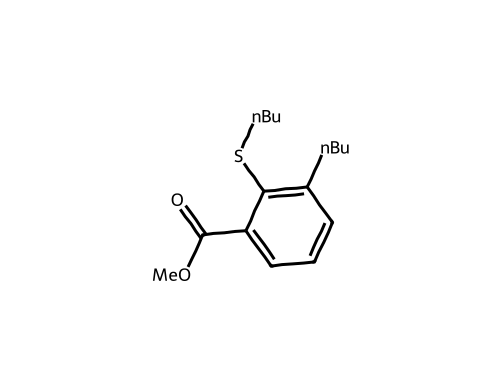 CCCCSc1c(CCCC)cccc1C(=O)OC